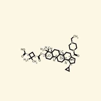 CCN1CCN(C(=O)[C@]23CC[C@@H](C4CC4)[C@@H]2[C@H]2CC[C@@H]4[C@@]5(C)CC[C@H](OC(=O)[C@H]6C[C@@H](C(=O)O)C6(C)C)C(C)(C)[C@@H]5CC[C@@]4(C)[C@]2(C)CC3)CC1